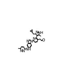 Cc1ccc(Nc2ccc3c(c2)ncn3-c2ccc(CC=O)c(-c3c(CC4CC4)n[nH]c3C)n2)nn1